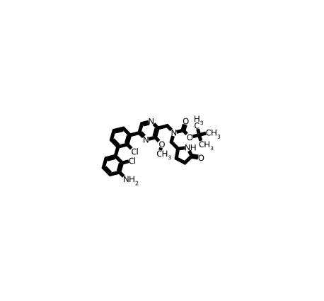 COc1nc(-c2cccc(-c3cccc(N)c3Cl)c2Cl)cnc1CN(CC1CCC(=O)N1)C(=O)OC(C)(C)C